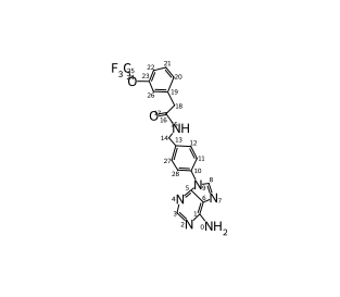 Nc1ncnc2c1ncn2-c1ccc(CNC(=O)Cc2cccc(OC(F)(F)F)c2)cc1